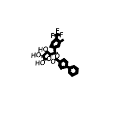 Cc1cc([C@@H](OC(=O)c2ccc(-c3ccccc3)cc2)[C@H]2OC(O)[C@H](O)[C@@H]2O)ccc1C(F)(F)F